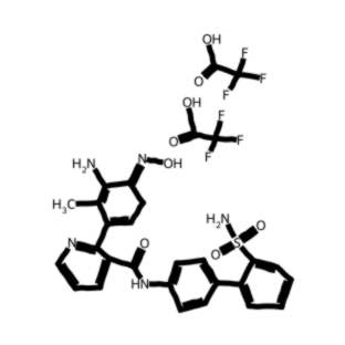 CC1=C(N)C(=NO)CC=C1c1ncccc1C(=O)Nc1ccc(-c2ccccc2S(N)(=O)=O)cc1.O=C(O)C(F)(F)F.O=C(O)C(F)(F)F